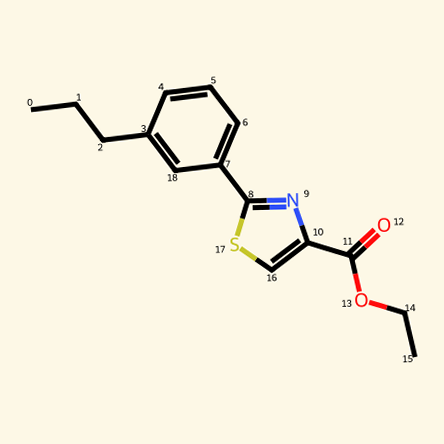 CCCc1cccc(-c2nc(C(=O)OCC)cs2)c1